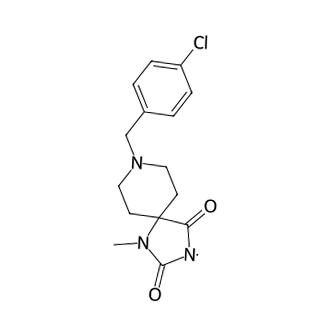 CN1C(=O)[N]C(=O)C12CCN(Cc1ccc(Cl)cc1)CC2